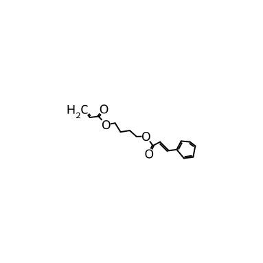 C=CC(=O)OCCCCOC(=O)/C=C/c1ccccc1